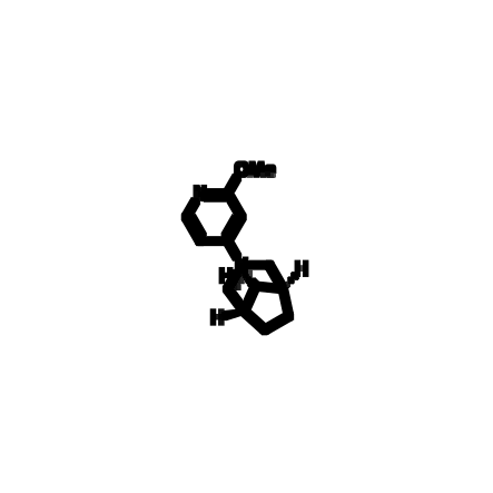 COc1cc(N2C[C@H]3CC[C@H](C2)C3N)ccn1